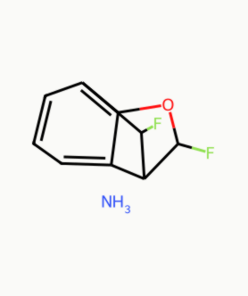 FC1Oc2c3cccc2C1C3F.N